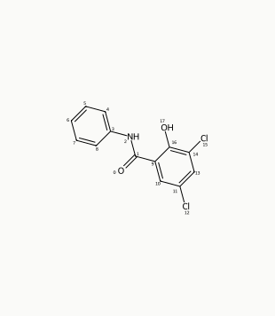 O=C(Nc1ccccc1)c1cc(Cl)cc(Cl)c1O